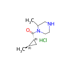 CC1CNCCN1C(=O)[C@@H]1C[C@H]1C.Cl